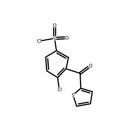 O=C(c1cccs1)c1cc(S(=O)(=O)Cl)ccc1Cl